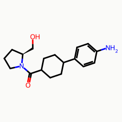 Nc1ccc(C2CCC(C(=O)N3CCC[C@H]3CO)CC2)cc1